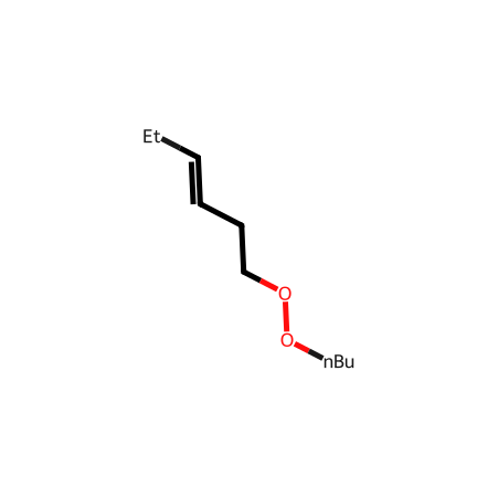 CCC=CCCOOCCCC